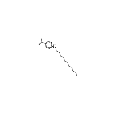 C=C(C)c1cc[n+](CCCCCCCCCCCC)cc1